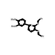 CNc1ccc(-c2ccc(N=CC(C)C)c(N=CC(C)C)c2)cc1NC